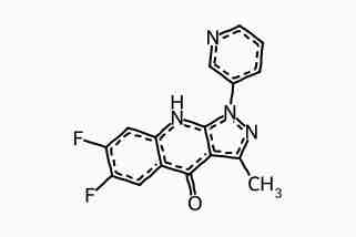 Cc1nn(-c2cccnc2)c2[nH]c3cc(F)c(F)cc3c(=O)c12